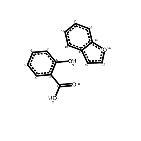 O=C(O)c1ccccc1O.c1ccc2occc2c1